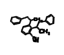 CC(Cc1ccccc1)c1cccc(O)c1C(C)Cc1ccccc1